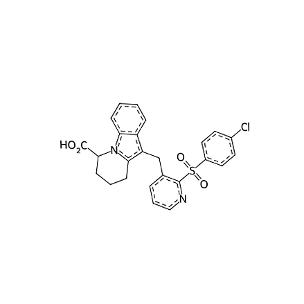 O=C(O)C1CCCc2c(Cc3cccnc3S(=O)(=O)c3ccc(Cl)cc3)c3ccccc3n21